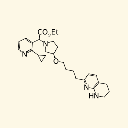 CCOC(=O)C(c1cccnc1C1CC1)N1CC[C@@H](OCCCCc2ccc3c(n2)NCCC3)C1